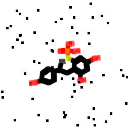 CCC(Cc1c(O)cc(O)cc1SP(=O)(O)O)c1ccc(O)cc1